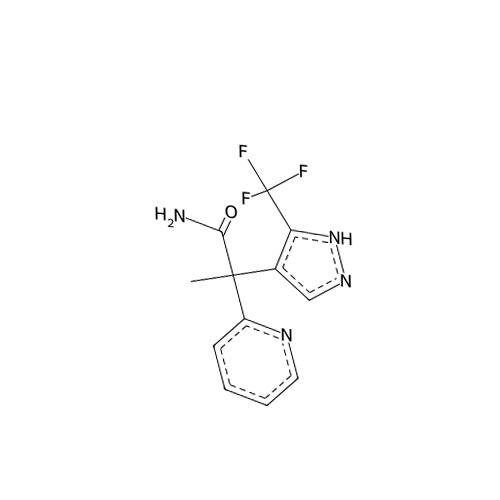 CC(C(N)=O)(c1ccccn1)c1cn[nH]c1C(F)(F)F